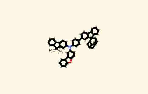 CC1(C)c2ccccc2-c2ccc(N(c3ccc(-c4ccc5c(c4)C4(c6ccccc6-5)C5CC6CC(C5)CC4C6)cc3)c3ccc4oc5ccccc5c4c3)cc21